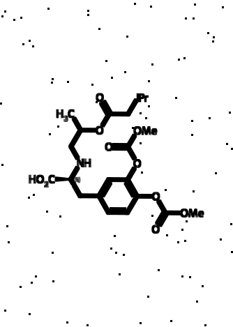 COC(=O)Oc1ccc(C[C@H](NCC(C)OC(=O)CC(C)C)C(=O)O)cc1OC(=O)OC